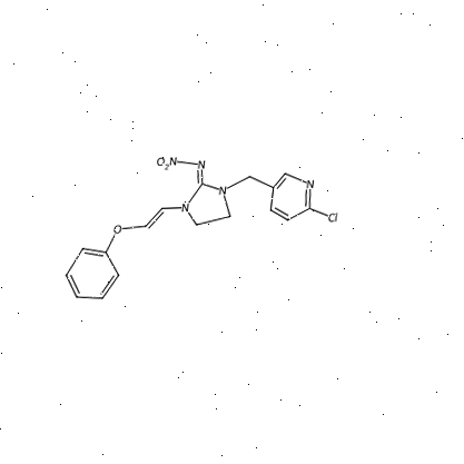 O=[N+]([O-])/N=C1\N(/C=C/Oc2ccccc2)CCN1Cc1ccc(Cl)nc1